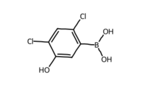 OB(O)c1cc(O)c(Cl)cc1Cl